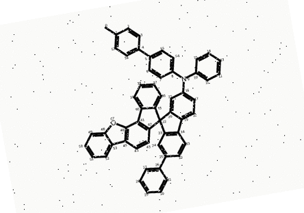 Cc1ccc(-c2ccc(N(c3ccccc3)c3ccc4c(c3)C3(c5cc(-c6ccccc6)ccc5-4)c4ccccc4-c4c3ccc3c4oc4ccccc43)cc2)cc1